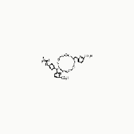 CN(I)C(=S)Nc1ccc(C(c2cccc(C(=O)O)n2)N2CCOCCOCCN(Cc3cccc(C(=O)O)n3)CCOCCOCC2)cc1